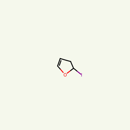 IC1CC=CO1